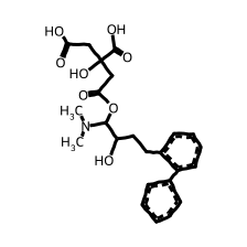 CN(C)C(OC(=O)CC(O)(CC(=O)O)C(=O)O)C(O)CCc1ccccc1-c1ccccc1